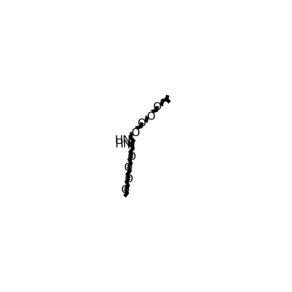 CCOCCOCCOCCOCCN1CC(COCCOCCOCCOCCC(C)C)NN1